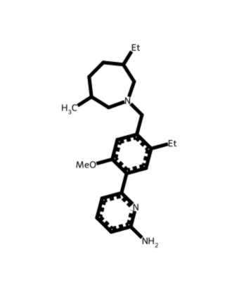 CCc1cc(-c2cccc(N)n2)c(OC)cc1CN1CC(C)CCC(CC)C1